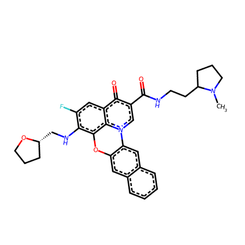 CN1CCCC1CCNC(=O)c1cn2c3c(c(NC[C@@H]4CCCO4)c(F)cc3c1=O)Oc1cc3ccccc3cc1-2